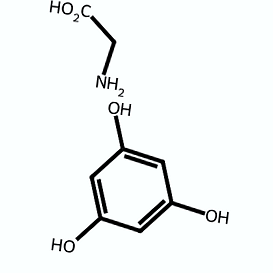 NCC(=O)O.Oc1cc(O)cc(O)c1